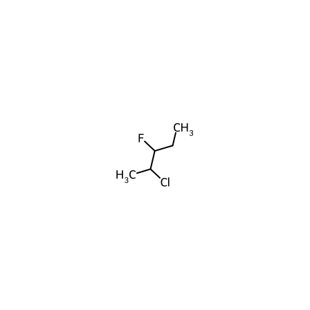 CCC(F)C(C)Cl